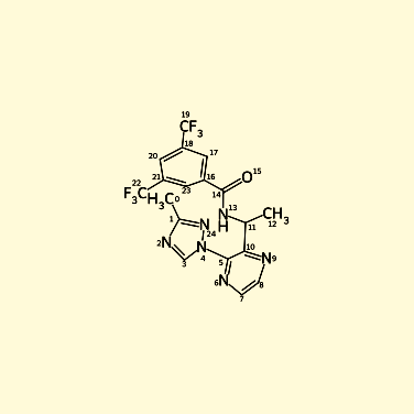 Cc1ncn(-c2nccnc2C(C)NC(=O)c2cc(C(F)(F)F)cc(C(F)(F)F)c2)n1